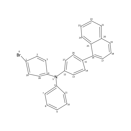 Brc1ccc(N(c2ccccc2)c2ccc(-c3cccc4ccccc34)cc2)cc1